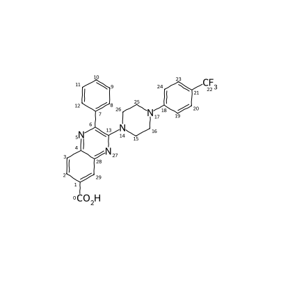 O=C(O)c1ccc2nc(-c3ccccc3)c(N3CCN(c4ccc(C(F)(F)F)cc4)CC3)nc2c1